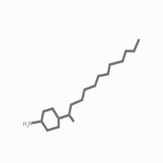 CCCCCCCCCCCC(C)C1CCC(N)CC1